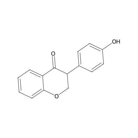 O=C1c2ccccc2OCC1c1ccc(O)cc1